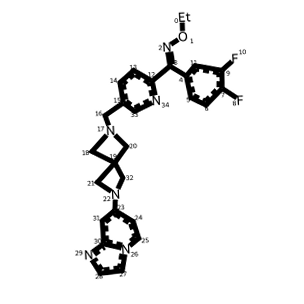 CCON=C(c1ccc(F)c(F)c1)c1ccc(CN2CC3(C2)CN(c2ccn4ccnc4c2)C3)cn1